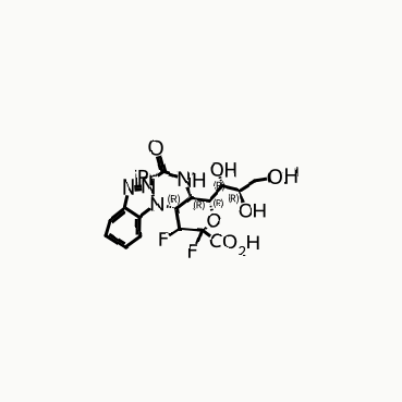 CC(C)C(=O)N[C@H]1[C@H]([C@H](O)[C@H](O)CO)OC(F)(C(=O)O)C(F)[C@@H]1n1nnc2ccccc21